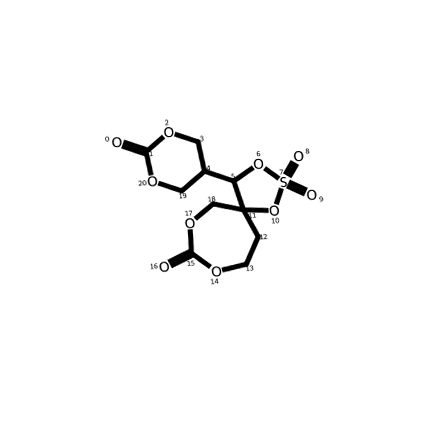 O=C1OCC(C2OS(=O)(=O)OC23CCOC(=O)OC3)CO1